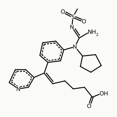 CS(=O)(=O)N=C(N)N(c1cccc(/C(=C\CCCC(=O)O)c2cccnc2)c1)C1CCCC1